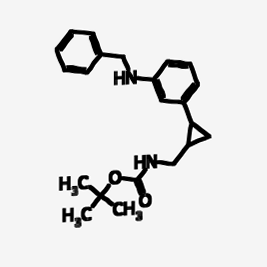 CC(C)(C)OC(=O)NCC1CC1c1cccc(NCc2ccccc2)c1